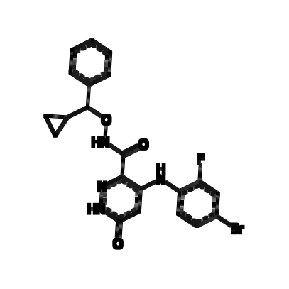 O=C(NOC(c1ccccc1)C1CC1)c1n[nH]c(=O)cc1Nc1ccc(Br)cc1F